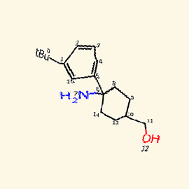 CC(C)(C)c1cccc(C2(N)CCC(CO)CC2)c1